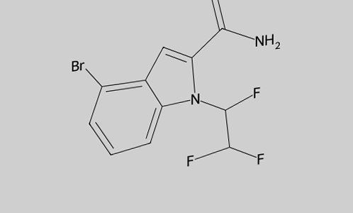 NC(=S)c1cc2c(Br)cccc2n1C(F)C(F)F